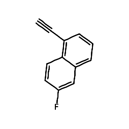 C#Cc1cccc2cc(F)ccc12